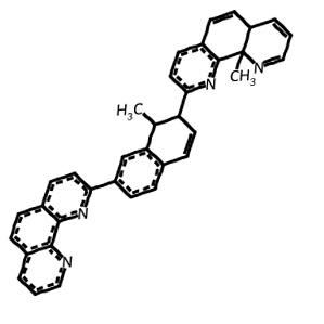 CC1c2cc(-c3ccc4ccc5cccnc5c4n3)ccc2C=CC1c1ccc2c(n1)C1(C)N=CC=CC1C=C2